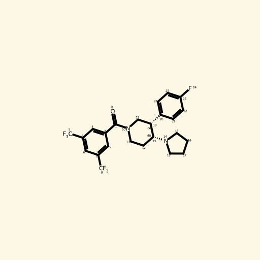 O=C(c1cc(C(F)(F)F)cc(C(F)(F)F)c1)N1CC[C@@H](N2CCCC2)[C@@H](c2ccc(F)cc2)C1